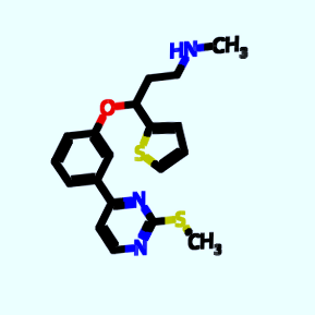 CNCCC(Oc1cccc(-c2ccnc(SC)n2)c1)c1cccs1